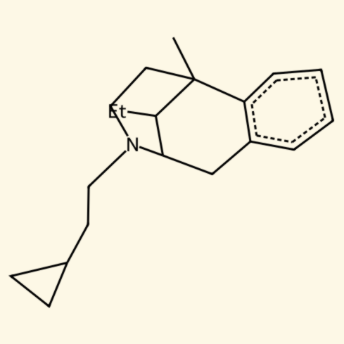 CCC1C2Cc3ccccc3C1(C)CCN2CCC1CC1